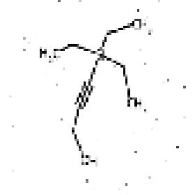 CC[Si](C#CCO)(CC)CC